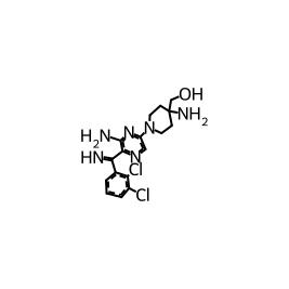 N=C(c1cccc(Cl)c1Cl)c1ncc(N2CCC(N)(CO)CC2)nc1N